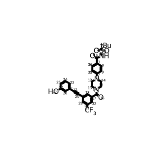 CC(C)(C)S(=O)(=O)NC(=O)c1ccc(N2CCN(C(=O)c3cc(C#Cc4cccc(O)c4)cc(C(F)(F)F)c3)CC2)cc1